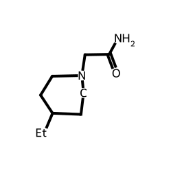 [CH2]CC1CCN(CC(N)=O)CC1